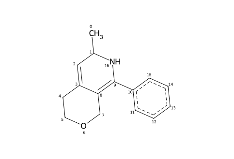 CC1C=C2CCOCC2=C(c2ccccc2)N1